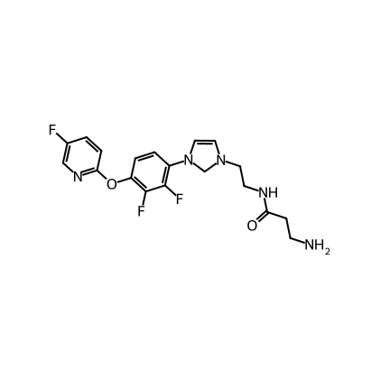 NCCC(=O)NCCN1C=CN(c2ccc(Oc3ccc(F)cn3)c(F)c2F)C1